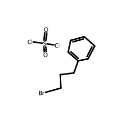 BrCCCc1ccccc1.O=S(=O)(Cl)Cl